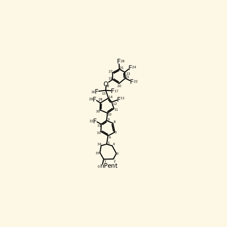 CCCCCC1CCCC(c2ccc(-c3cc(F)c(C(F)(F)Oc4cc(F)c(F)c(F)c4)c(F)c3)c(F)c2)CC1